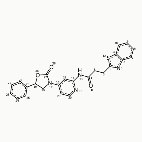 O=C(CCc1nc2ccccc2s1)Nc1cc(N2CC(c3ccccc3)OC2=O)ccn1